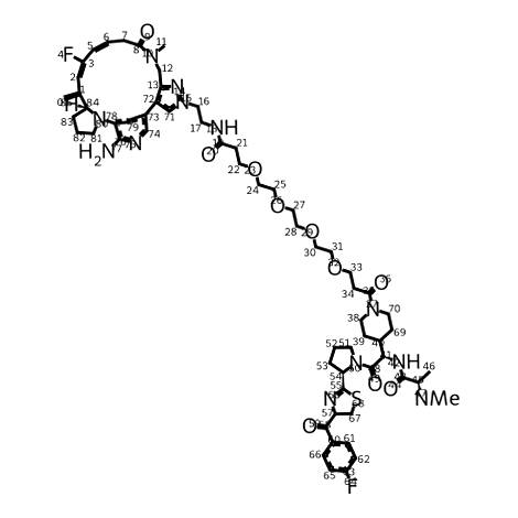 C=C1/C=C(F)\C=C/CC(=O)N(C)Cc2nn(CCNC(=O)CCOCCOCCOCCOCCC(=O)N3CCC([C@@H](NC(=O)[C@@H](C)NC)C(=O)N4CCC[C@@H]4C4=NC(C(=O)c5ccc(F)cc5)CS4)CC3)cc2-c2cnc(N)c(c2)N2CCC[C@H]12